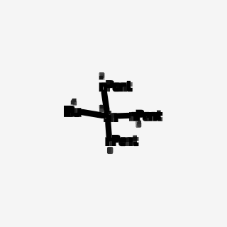 CCCC[CH2][Sn]([CH2]CCCC)([CH2]CCCC)[CH](C)CC